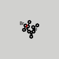 Brc1cccc(-c2ccccc2N(c2ccc(-c3ccccc3)cc2)c2ccc3c(c2)c2c4c(ccc2n3-c2ccccc2)oc2c(-c3ccccc3)cccc24)c1